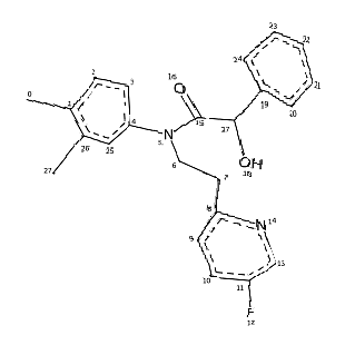 Cc1ccc(N(CCc2ccc(F)cn2)C(=O)C(O)c2ccccc2)cc1C